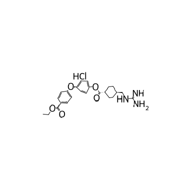 CCOC(=O)c1ccc(Oc2ccc(OC(=O)[C@H]3CC[C@H](CNC(=N)N)CC3)cc2)cc1.Cl